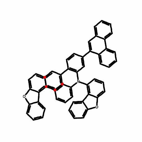 c1ccc(-c2ccc(-c3cc4ccccc4c4ccccc34)cc2N(c2cccc(-c3cccc4oc5ccccc5c34)c2)c2cccc3oc4ccccc4c23)cc1